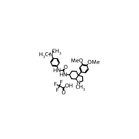 COc1ccc(C23CCC(NC(=O)Nc4ccc(N(C)C)cc4)CC2N(C)CC3)cc1OC.O=C(O)C(F)(F)F